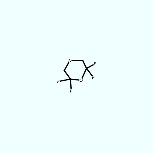 FC1(F)C[N]CC(F)(F)O1